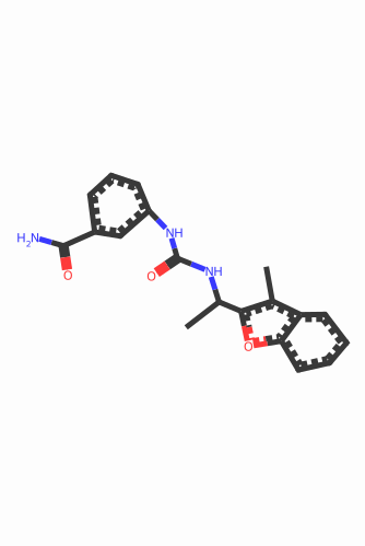 Cc1c(C(C)NC(=O)Nc2cccc(C(N)=O)c2)oc2ccccc12